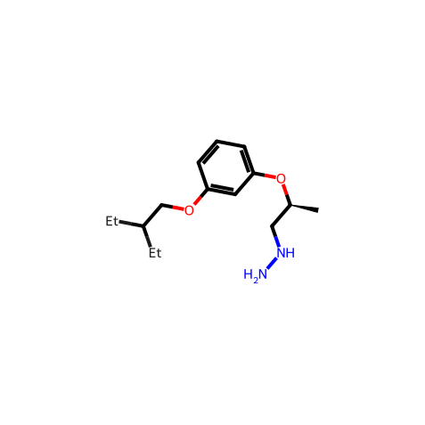 CCC(CC)COc1cccc(O[C@@H](C)CNN)c1